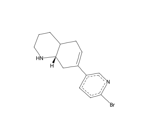 Brc1ccc(C2=CCC3CCCN[C@H]3C2)cn1